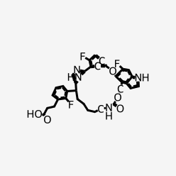 O=C(O)CCc1cccc(C2CCCCCNC(=O)OCc3c(c(F)cc4[nH]ccc34)Oc3ccc(F)c(c3)-c3ncc2[nH]3)c1F